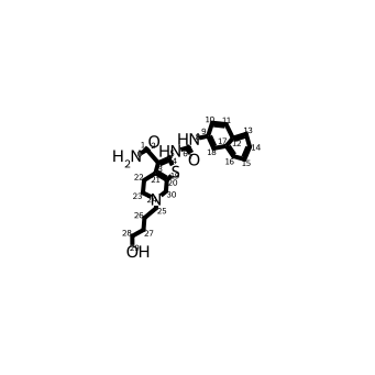 NC(=O)c1c(NC(=O)Nc2ccc3ccccc3c2)sc2c1CCN(CCCCO)C2